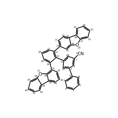 N#Cc1cc(-c2ccccc2)cc(-c2c(-c3ccc4c(c3)oc3ccccc34)cccc2-c2cccc3c2oc2ccccc23)c1